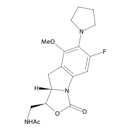 COc1c2c(cc(F)c1N1CCCC1)N1C(=O)O[C@@H](CNC(C)=O)[C@@H]1C2